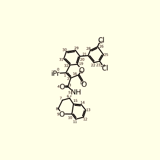 CC(C)c1c(C(=O)N[C@H]2CCOc3ccccc32)c(=O)oc2c(-c3cc(Cl)cc(Cl)c3)cccc12